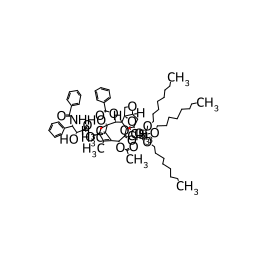 CCCCCCCCO[Si](OCCCCCCCC)(OCCCCCCCC)O[C@H]1C[C@H]2OC[C@@]2(OC(C)=O)[C@H]2[C@H](OC(=O)c3ccccc3)[C@]3(O)C[C@H](OC(=O)[C@H](O)[C@@H](NC(=O)c4ccccc4)c4ccccc4)C(C)=C([C@@H](OC(C)=O)C(=O)[C@]12C)C3(C)C